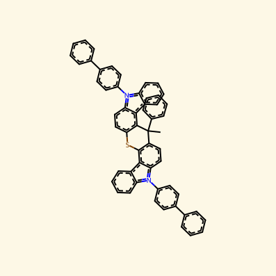 CC1(c2ccccc2)c2ccc3c(c2Sc2ccc4c(c21)c1ccccc1n4-c1ccc(-c2ccccc2)cc1)c1ccccc1n3-c1ccc(-c2ccccc2)cc1